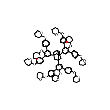 c1cc(-c2cc(C34CC5CC(c6cc(-c7ccc(OC8CCCCO8)cc7)c(OC7CCCCO7)c(-c7ccc(OC8CCCCO8)cc7)c6)(C3)CC(c3cc(-c6ccc(OC7CCCCO7)cc6)c(OC6CCCCO6)c(-c6ccc(OC7CCCCO7)cc6)c3)(C5)C4)cc(-c3ccc(OC4CCCCO4)cc3)c2OC2CCCCO2)ccc1OC1CCCCO1